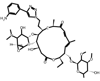 CC[C@H]1OC(=O)C[C@@H](O)[C@H](C)[C@@H](O[C@@H]2O[C@@H]3O[C@H]3C(N(C)C)C2O)[C@@H](CCn2cc(-c3cccc(N)c3)nn2)C[C@@H](C)C(=O)/C=C/C(C)=C/[C@@H]1CO[C@@H]1OC(C)[C@@H](O)[C@H](OC)C1OC